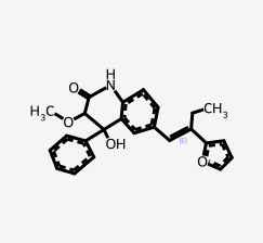 CC/C(=C\c1ccc2c(c1)C(O)(c1ccccc1)C(OC)C(=O)N2)c1ccco1